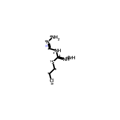 Br.N=C(N/C=N\N)SCCCl